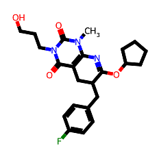 Cn1c2c(c(=O)n(CCCO)c1=O)CC(Cc1ccc(F)cc1)C(OC1CCCC1)=N2